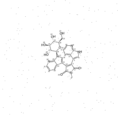 CN1C(=O)C(c2c[nH]c3ncccc23)=C(c2cn([C@@H]3O[C@H](CO)[C@@H](O)[C@H](O)[C@H]3O)c3ncccc23)C1=O